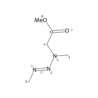 C/N=N/N(C)CC(=O)OC